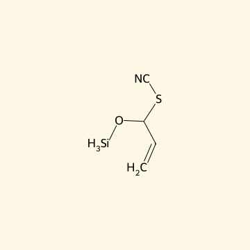 C=CC(O[SiH3])SC#N